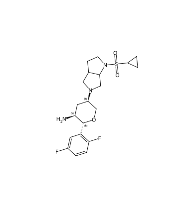 N[C@H]1C[C@@H](N2CC3CCN(S(=O)(=O)C4CC4)C3C2)CO[C@@H]1c1cc(F)ccc1F